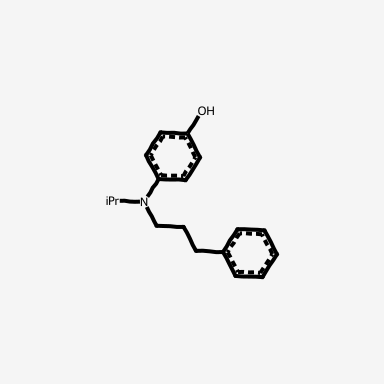 CC(C)N(CCCc1ccccc1)c1ccc(O)cc1